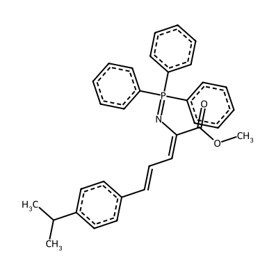 COC(=O)C(=CC=Cc1ccc(C(C)C)cc1)N=P(c1ccccc1)(c1ccccc1)c1ccccc1